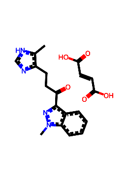 Cc1[nH]cnc1CCC(=O)c1nn(C)c2ccccc12.O=C(O)C=CC(=O)O